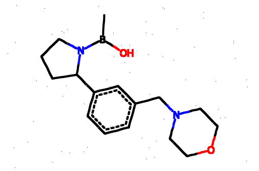 CB(O)N1CCCC1c1cccc(CN2CCOCC2)c1